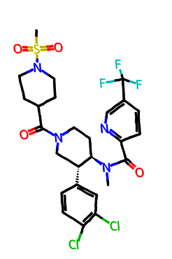 CN(C(=O)c1ccc(C(F)(F)F)cn1)[C@@H]1CCN(C(=O)C2CCN(S(C)(=O)=O)CC2)C[C@H]1c1ccc(Cl)c(Cl)c1